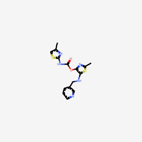 Cc1csc(NC(=O)Oc2nc(C)sc2NCc2cccnc2)n1